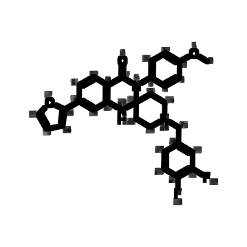 COc1ccc(N2C(=O)c3ccc(-c4ccco4)cc3NC23CCN(Cc2ccc(F)c(F)c2)CC3)cc1